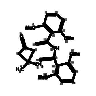 CC1(C)CC(=O)C1.COc1cccc(OC)c1C(=O)PC(=O)c1c(OC)cccc1OC